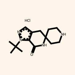 CC(C)(C)n1ncc2c1C(=O)NC1(CCNCC1)C2.Cl